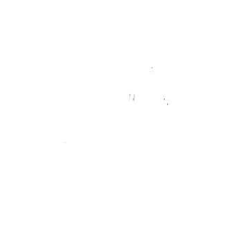 CC(=O)c1nccc(-c2ccc(F)cc2C)n1